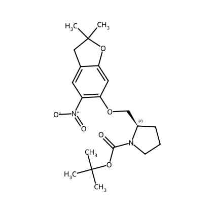 CC(C)(C)OC(=O)N1CCC[C@@H]1COc1cc2c(cc1[N+](=O)[O-])CC(C)(C)O2